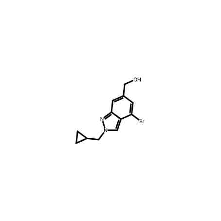 OCc1cc(Br)c2cn(CC3CC3)nc2c1